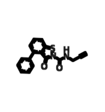 C#CCNC(=O)n1sc2cccc(-c3ccccc3)c2c1=O